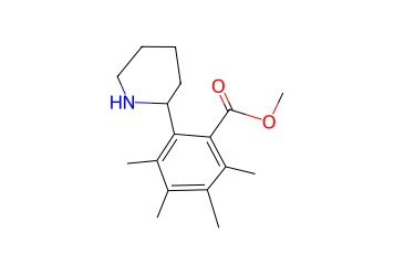 COC(=O)c1c(C)c(C)c(C)c(C)c1C1CCCCN1